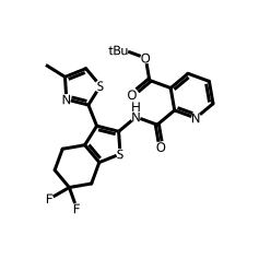 Cc1csc(-c2c(NC(=O)c3ncccc3C(=O)OC(C)(C)C)sc3c2CCC(F)(F)C3)n1